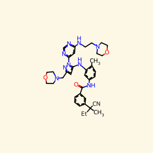 CCC(C)(C#N)c1cccc(C(=O)Nc2ccc(C)c(Nc3cc(CN4CCOCC4)nn3-c3cc(NCCN4CCOCC4)ncn3)c2)c1